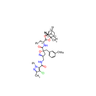 COc1cccc(CC2(C(=O)N[C@@H](CC(C)C)B3O[C@@H]4C[C@@H]5C[C@@H](C5(C)C)[C@]4(C)O3)CC(CNC(=O)c3c(Cl)c(C)nn3C(C)C)=NO2)c1